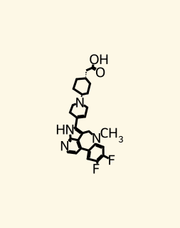 CN1Cc2c(C3=CCN([C@H]4CC[C@@H](CC(=O)O)CC4)CC3)[nH]c3nccc(c23)-c2cc(F)c(F)cc21